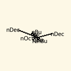 CCCCCCCCCCCCCCCCCCCCCc1cc(CCCC)cc(C2=C(CCCC)C(CCCCCCCC)=C(c3cc(CCCC)cc(CCCCCCCCCCCCCCCCCCCCC)c3)[N+]2=[N-])c1.[Ni]